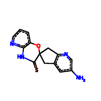 Nc1cnc2c(c1)CC1(C2)Oc2cccnc2NC1=S